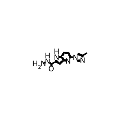 Cc1cn(-c2ccc3[nH]c(C(=O)NN)cc3n2)cn1